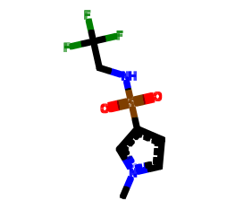 Cn1ccc(S(=O)(=O)NCC(F)(F)F)c1